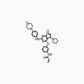 C=CC(=O)Nc1cccc(Oc2nc(Nc3ccc(N4CCN(C)CC4)cc3)nc3[nH]cc(N4CCCC4)c23)c1